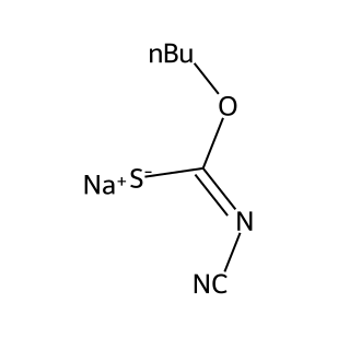 CCCCOC([S-])=NC#N.[Na+]